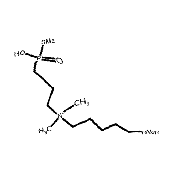 CCCCCCCCCCCCCC[N+](C)(C)CCCP(=O)(O)OC